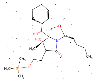 CCCC[C@@H]1OC[C@]2([C@H](O)[C@@H]3C=CCCC3)N1C(=O)C(CCO[PH](C)(C)C)[C@]2(C)O